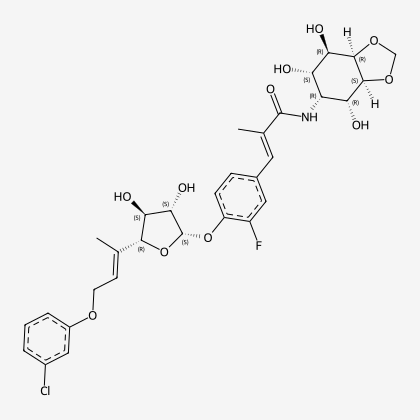 CC(=Cc1ccc(O[C@@H]2O[C@H](C(C)=CCOc3cccc(Cl)c3)[C@@H](O)[C@@H]2O)c(F)c1)C(=O)N[C@@H]1[C@H](O)[C@@H](O)[C@H]2OCO[C@H]2[C@@H]1O